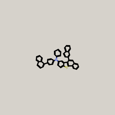 c1ccc(N(c2ccc(-c3cccc4ccccc34)cc2)c2ccc3sc4c5ccccc5cc(-c5ccc6ccccc6c5)c4c3c2)cc1